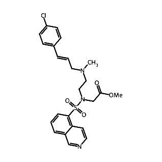 COC(=O)CN(CCN(C)CC=Cc1ccc(Cl)cc1)S(=O)(=O)c1cccc2cnccc12